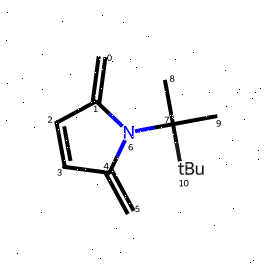 C=c1ccc(=C)n1C(C)(C)C(C)(C)C